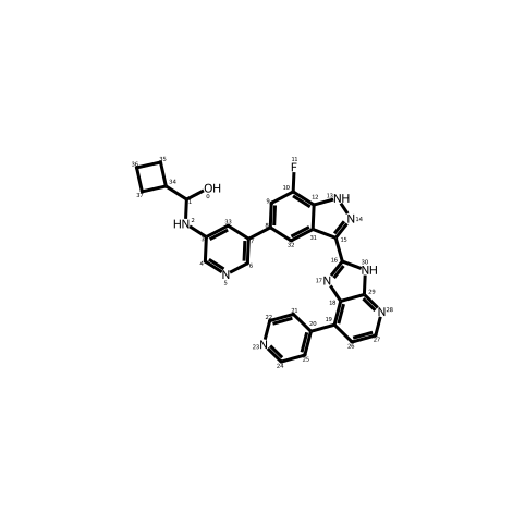 OC(Nc1cncc(-c2cc(F)c3[nH]nc(-c4nc5c(-c6ccncc6)ccnc5[nH]4)c3c2)c1)C1CCC1